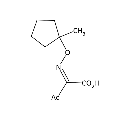 CC(=O)C(=NOC1(C)CCCC1)C(=O)O